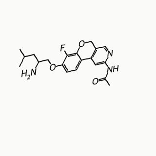 CC(=O)Nc1cc2c(cn1)COc1c-2ccc(OCC(N)CC(C)C)c1F